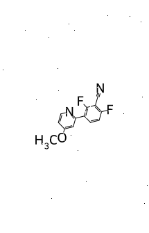 COc1ccnc(-c2ccc(F)c(C#N)c2F)c1